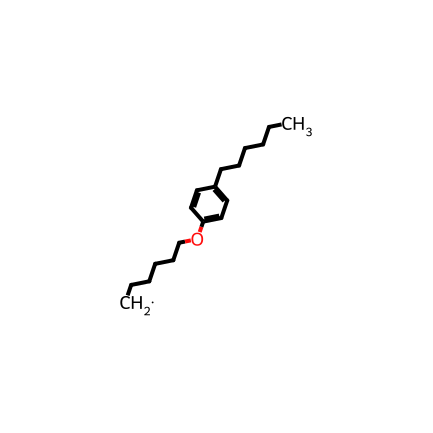 [CH2]CCCCCOc1ccc(CCCCCC)cc1